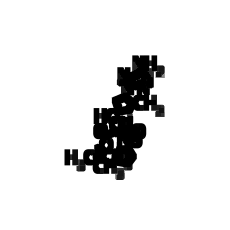 C=C1[C@H](COP(=O)(N[C@@H](C)C(=O)OCC(C)(C)C)Oc2ccccc2)[C@@H](O)C[C@@H]1n1cnc2c(N)ncnc21